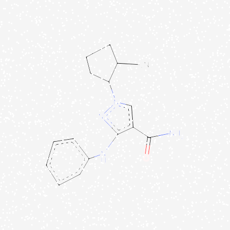 N#CC1CCCC1n1cc(C(N)=O)c(Nc2ccccc2)n1